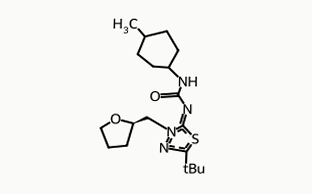 CC1CCC(NC(=O)N=c2sc(C(C)(C)C)nn2C[C@H]2CCCO2)CC1